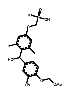 CCCc1cc(C(O)c2c(C)cc(OCP(=O)(O)O)cc2C)ccc1OCOC